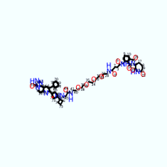 O=C(CCC(=O)Nc1cccc2c1C(=O)N([C@H]1CCCC(=O)NC1=O)C2=O)NCCOCCOCCOCCOCCNC(=O)CNC1(c2ccc(-c3nc4ccn5c(=O)[nH]nc5c4cc3-c3ccccc3)cc2)CCC1